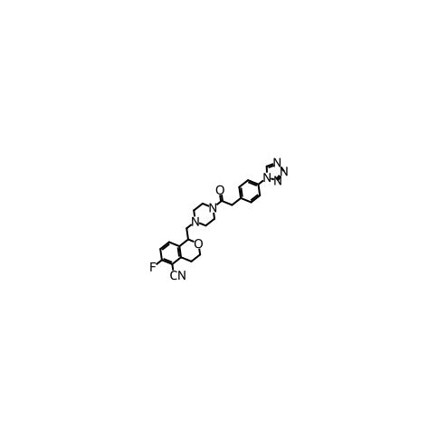 N#Cc1c(F)ccc2c1CCOC2CN1CCN(C(=O)Cc2ccc(-n3cnnn3)cc2)CC1